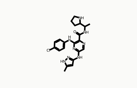 Cc1cc(Nc2cnc(C(=O)NC(C)C3CCCN3)c(Nc3ccc(Cl)cc3)n2)n[nH]1